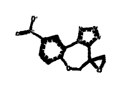 O=[N+]([O-])c1ccc2c(c1)-n1nnnc1C1(CO2)CO1